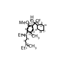 CCN(C)CCN(CC)c1cc(OC)c(C(O)(C2CCCCC2)C(F)(F)F)cc1C